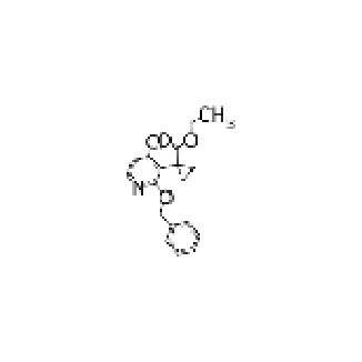 CCOC(=O)C1(c2c(Cl)ccnc2OCc2ccccc2)CC1